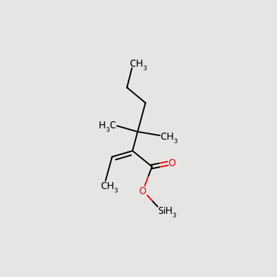 CC=C(C(=O)O[SiH3])C(C)(C)CCC